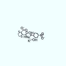 O=C([O-])C1=C(C(=O)N[C@@H](CO)[C@H](O)c2ccc([N+](=O)[O-])cc2)SCCS1.[K+]